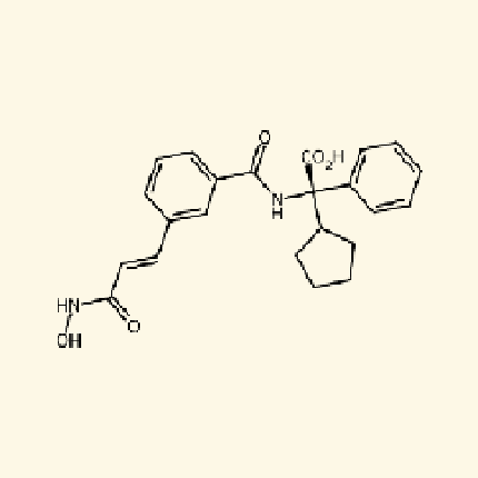 O=C(/C=C/c1cccc(C(=O)N[C@](C(=O)O)(c2ccccc2)C2CCCC2)c1)NO